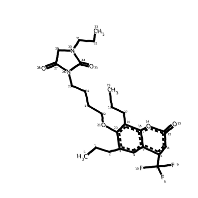 CCCc1cc2c(C(F)(F)F)cc(=O)oc2c(CCC)c1OCCCCN1C(=O)CN(CCC)C1=O